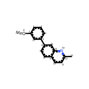 COc1cccc(-c2ccc3ccc(C)nc3c2)c1